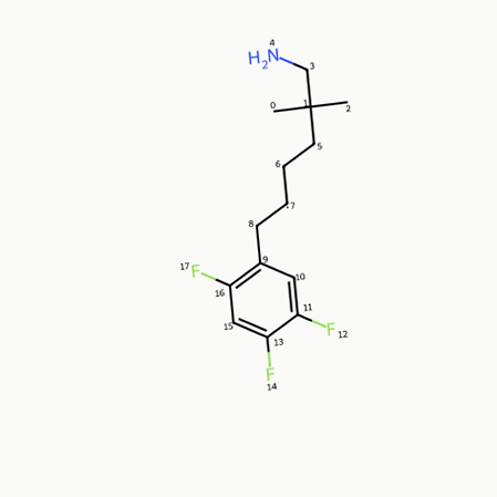 CC(C)(CN)CC[CH]Cc1cc(F)c(F)cc1F